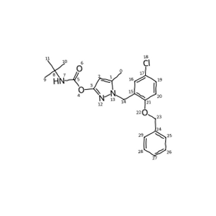 Cc1cc(OC(=O)NC(C)(C)C)nn1Cc1cc(Cl)ccc1OCc1ccccc1